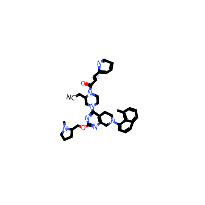 Cc1cccc2cccc(N3CCc4c(nc(OCC5CCCN5C)nc4N4CCN(C(=O)/C=C/c5ccccn5)C(CC#N)C4)C3)c12